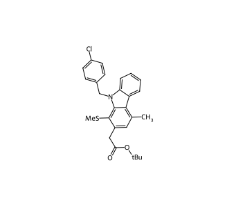 CSc1c(CC(=O)OC(C)(C)C)cc(C)c2c3ccccc3n(Cc3ccc(Cl)cc3)c12